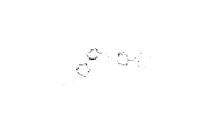 CCOc1ccc(-c2cc(C(=O)Nc3ccc(N4CCCCCC4)nc3)ccc2C)cc1